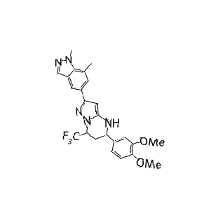 COc1ccc(C2CC(C(F)(F)F)n3nc(-c4cc(C)c5c(cnn5C)c4)cc3N2)cc1OC